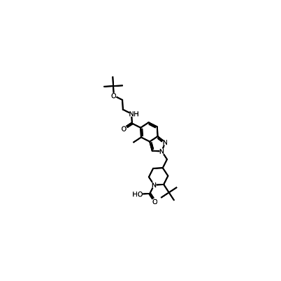 Cc1c(C(=O)NCCOC(C)(C)C)ccc2nn(CC3CCN(C(=O)O)C(C(C)(C)C)C3)cc12